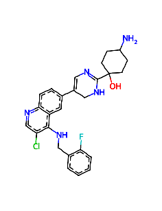 NC1CCC(O)(C2=NC=C(c3ccc4ncc(Cl)c(NCc5ccccc5F)c4c3)CN2)CC1